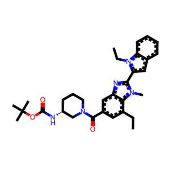 CCc1cc(C(=O)N2CCC[C@@H](NC(=O)OC(C)(C)C)C2)cc2nc(-c3cc4ccccc4n3CC)n(C)c12